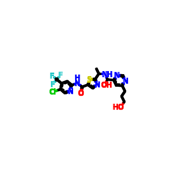 CC(NC(O)c1cc(CCCO)ncn1)c1ncc(C(=O)Nc2cc(C(F)(F)F)c(Cl)cn2)s1